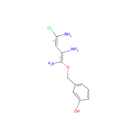 NC(/C=C(\N)Cl)=C(/N)OCc1cccc(O)c1